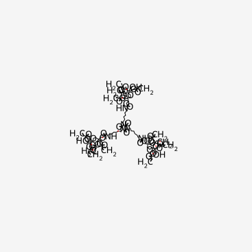 C=CC(=O)OCC(CO)(COCC(COC(=O)C=C)(COC(=O)C=C)COC(=O)NCCCCCCn1c(=O)n(CCCCCCNC(=O)OCC(COCC(CO)(COC(=O)C=C)COC(=O)C=C)(COC(=O)C=C)COC(=O)C=C)c(=O)n(CCCCCCNC(=O)OCC(COCC(CO)(COC(=O)C=C)COC(=O)C=C)(COC(=O)C=C)COC(=O)C=C)c1=O)COC(=O)C=C